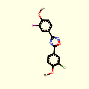 CCCCOc1ccc(-c2nc(-c3ccc(OC(C)C)c(I)c3)no2)cc1Cl